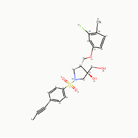 CC#Cc1ccc(S(=O)(=O)N2C[C@H](COc3ccc(C#N)c(F)c3)[C@](O)(CO)C2)cc1